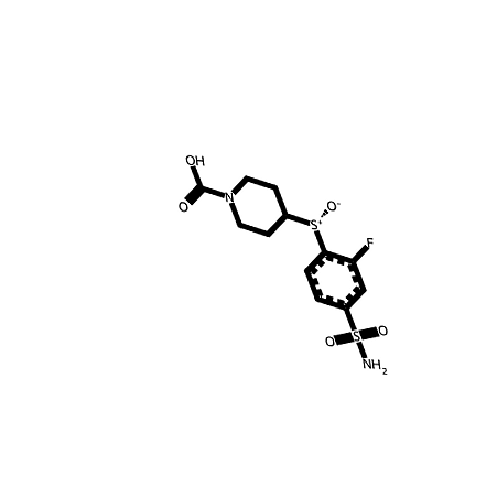 NS(=O)(=O)c1ccc([S@@+]([O-])C2CCN(C(=O)O)CC2)c(F)c1